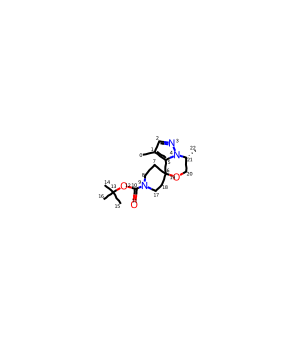 Cc1cnn2c1C1(CCN(C(=O)OC(C)(C)C)CC1)OC[C@H]2C